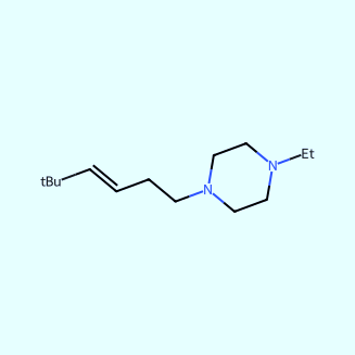 CCN1CCN(CC/C=C/C(C)(C)C)CC1